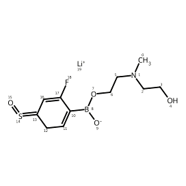 CN(CCO)CCOB([O-])C1=CCC(=S=O)C=C1F.[Li+]